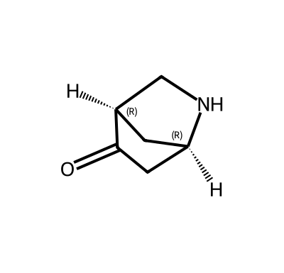 O=C1C[C@H]2C[C@@H]1CN2